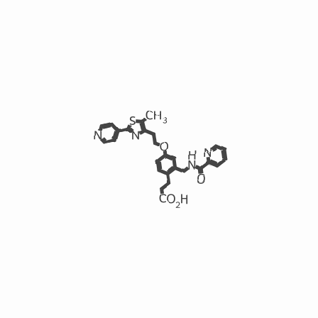 Cc1sc(-c2ccncc2)nc1CCOc1ccc(CCC(=O)O)c(CNC(=O)c2ccccn2)c1